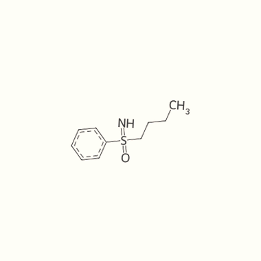 CCCCS(=N)(=O)c1ccccc1